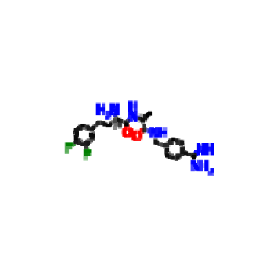 C[C@H](NC(=O)[C@H](N)CCc1ccc(F)c(F)c1)C(=O)NCc1ccc(C(=N)N)cc1